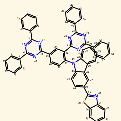 c1ccc(-c2nc(-c3ccccc3)nc(-c3ccc(-n4c5ccccc5c5cc(-c6nc7ccccc7s6)ccc54)c(-c4nc(-c5ccccc5)nc(-c5ccccc5)n4)c3)n2)cc1